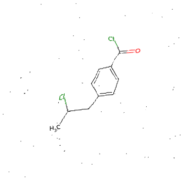 CC(Cl)Cc1ccc(C(=O)Cl)cc1